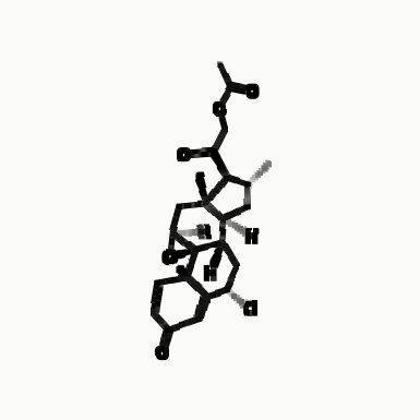 CC(=O)OCC(=O)[C@H]1[C@H](C)C[C@H]2[C@@H]3C[C@H](Cl)C4=CC(=O)C=C[C@]4(C)[C@@]34O[C@H]4C[C@@]21C